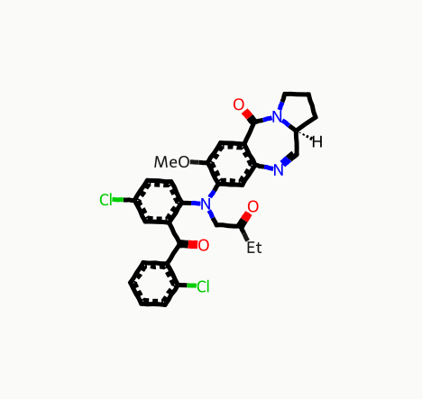 CCC(=O)CN(c1cc2c(cc1OC)C(=O)N1CCC[C@H]1C=N2)c1ccc(Cl)cc1C(=O)c1ccccc1Cl